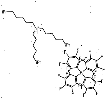 CC(C)CCCCC[NH+](CCCCCC(C)C)CCCCCC(C)C.Fc1c(F)c(F)c([B-](c2c(F)c(F)c(F)c(F)c2F)(c2c(F)c(F)c(F)c(F)c2F)c2c(F)c(F)c(F)c(F)c2F)c(F)c1F